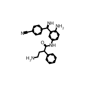 N#Cc1ccc(C(=N)c2cc(NC(=O)C(CCN)c3ccccc3)ccc2N)cc1